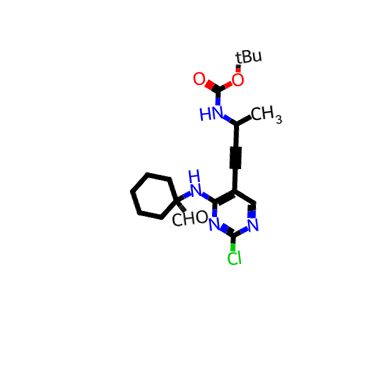 CC(C#Cc1cnc(Cl)nc1NC1(C=O)CCCCC1)NC(=O)OC(C)(C)C